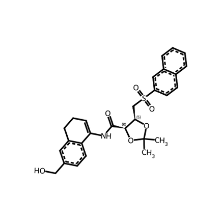 CC1(C)O[C@H](CS(=O)(=O)c2ccc3ccccc3c2)[C@H](C(=O)NC2=CCCc3cc(CO)ccc32)O1